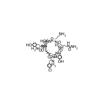 CC(O)C1NC(=O)[C@H](CCCCN)NC(=O)[C@@H](CCCCNC(N)=O)NC(=O)[C@H](Cc2ccc(O)cc2)NC(=O)[C@H](NC(=O)[C@@H](N)Cc2ccc(Cl)cc2)CSSC[C@@H](C(=O)N[C@H](Cc2ccc(O)cc2)C(N)=O)NC1=O